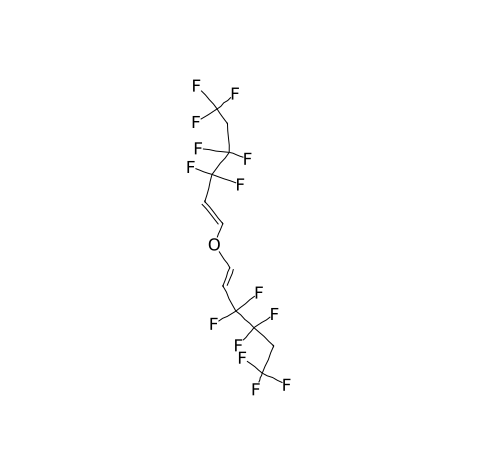 FC(F)(F)CC(F)(F)C(F)(F)C=COC=CC(F)(F)C(F)(F)CC(F)(F)F